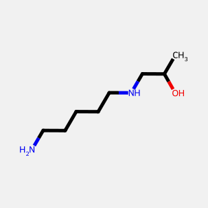 CC(O)CNCCCCCN